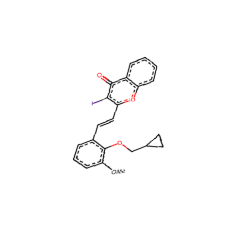 COc1cccc(C=Cc2oc3ccccc3c(=O)c2I)c1OCC1CC1